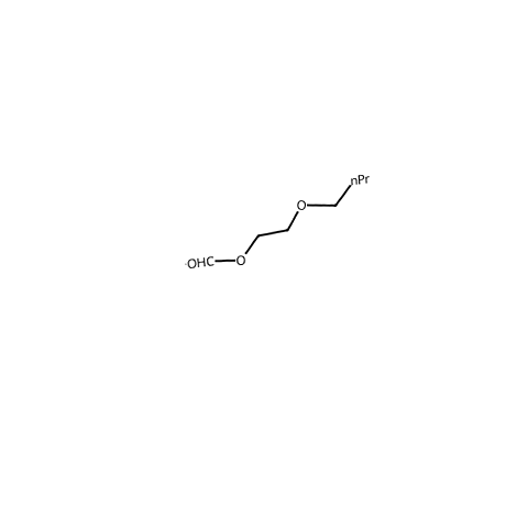 CCCCOCCO[C]=O